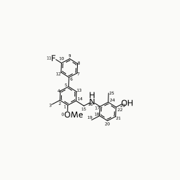 COc1c(C)cc(-c2cccc(F)c2)cc1CNc1c(C)ccc(O)c1C